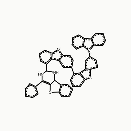 c1ccc(C2=C3Oc4ccccc4C3NC(c3cccc4oc5ccc(-c6cccc7sc8ccc(-n9c%10ccccc%10c%10ccccc%109)cc8c67)cc5c34)N2)cc1